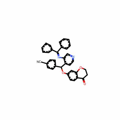 N#Cc1ccc(C(Oc2ccc3c(c2)OCCC3=O)c2ccncc2N=C(c2ccccc2)c2ccccc2)cc1